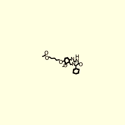 COc1c(OCCCCCOC(C)=O)ccc2c1CN1C(=N2)NC(=O)C1c1ccccc1